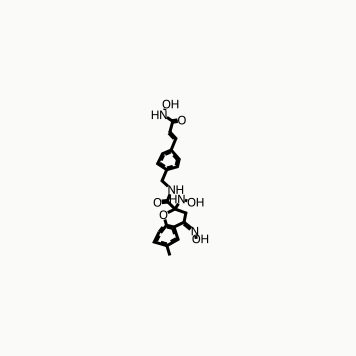 Cc1ccc2c(c1)/C(=N\O)CC(NO)(C(=O)NCc1ccc(/C=C/C(=O)NO)cc1)O2